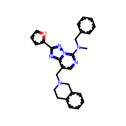 CN(Cc1ccccc1)c1ncc(CN2CCc3ccccc3C2)c2nc(-c3ccco3)nn12